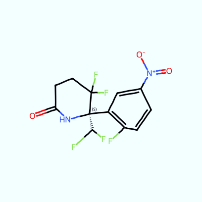 O=C1CCC(F)(F)[C@](c2cc([N+](=O)[O-])ccc2F)(C(F)F)N1